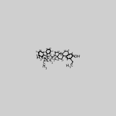 CCc1cc2c(cc1O)CCC1C2CCC2(C)C(CCO[Si](c3ccccc3)(c3ccccc3)C(C)(C)C)CCC12